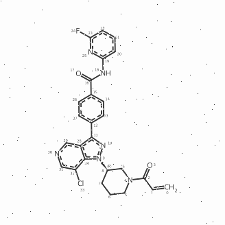 C=CC(=O)N1CCC[C@@H](n2nc(-c3ccc(C(=O)Nc4cccc(F)n4)cc3)c3cncc(Cl)c32)C1